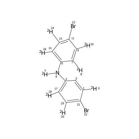 [2H]c1cc(N([2H])c2c([2H])c([2H])c(Br)c([2H])c2[2H])c([2H])c([2H])c1Br